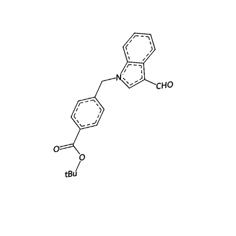 CC(C)(C)OC(=O)c1ccc(Cn2cc(C=O)c3ccccc32)cc1